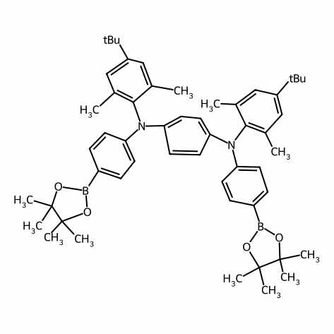 Cc1cc(C(C)(C)C)cc(C)c1N(c1ccc(B2OC(C)(C)C(C)(C)O2)cc1)c1ccc(N(c2ccc(B3OC(C)(C)C(C)(C)O3)cc2)c2c(C)cc(C(C)(C)C)cc2C)cc1